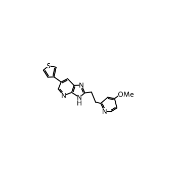 COc1ccnc(CCc2nc3cc(-c4ccsc4)cnc3[nH]2)c1